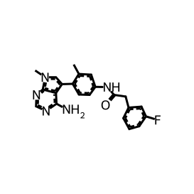 Cc1cc(NC(=O)Cc2cccc(F)c2)ccc1-c1cn(C)c2ncnc(N)c12